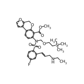 CCNCC=Cc1cc(F)ccc1S(=O)(=O)N(COCC[Si](C)(C)C)c1ccc2c(c1C(=O)OC)OCc1occc1-2